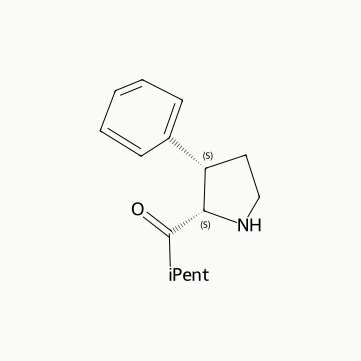 CCCC(C)C(=O)[C@H]1NCC[C@H]1c1ccccc1